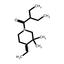 C/C=C1\CCN(C(=O)C(CC)CC)CC1(C)C